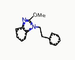 COc1nc2ccccc2n1CCc1ccccc1